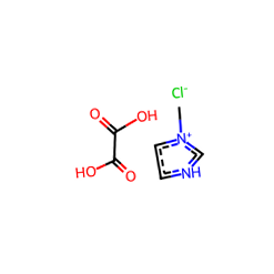 C[n+]1cc[nH]c1.O=C(O)C(=O)O.[Cl-]